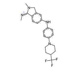 C/N=C1\c2ccc(Nc3ccc(N4CCC(C(F)(F)F)CC4)cc3)cc2CN1C